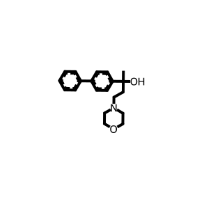 CC(O)(CCN1CCOCC1)c1ccc(-c2ccccc2)cc1